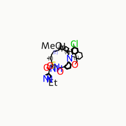 CCn1cc(C(=O)N[S@@]2(=O)=NC(=O)c3ccc4c(c3)N(C[C@@H]3CC[C@H]3[C@@H](OC)/C=C/C[C@H](C)C2)C[C@@]2(CCCc3cc(Cl)ccc32)CO4)cn1